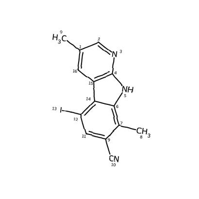 Cc1cnc2[nH]c3c(C)c(C#N)cc(I)c3c2c1